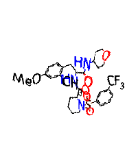 COc1ccc(CC(NC(=O)C2CCCCN2S(=O)(=O)c2cccc(C(F)(F)F)c2)C(=O)NC2CCOCC2)c(C)c1